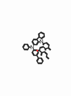 C=C/C=C\C(=C)C(=C)/C=C\C(=C)C(=C)/C=C\C(=C)n1c2ccccc2c2ccc(N(c3ccccc3)c3ccc(-c4ccccc4)cc3)cc21